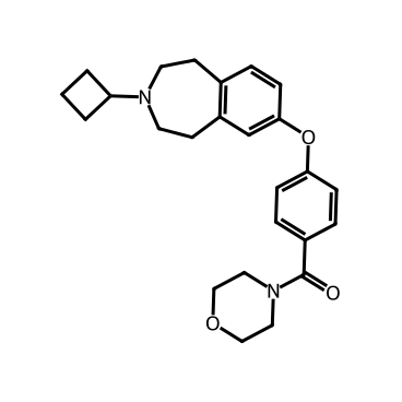 O=C(c1ccc(Oc2ccc3c(c2)CCN(C2CCC2)CC3)cc1)N1CCOCC1